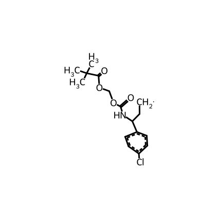 [CH2]CC(NC(=O)OCOC(=O)C(C)(C)C)c1ccc(Cl)cc1